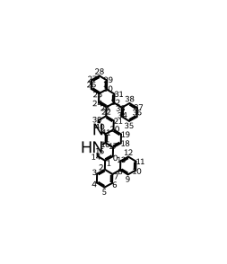 C1=C(c2ccccc2-c2ccccc2)CNc2c1ccc1cc(-c3cc4ccccc4cc3-c3ccccc3)cnc21